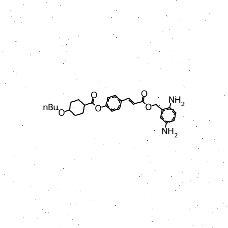 CCCCOC1CCC(C(=O)Oc2ccc(/C=C/C(=O)OCc3cc(N)ccc3N)cc2)CC1